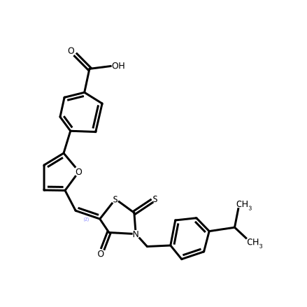 CC(C)c1ccc(CN2C(=O)/C(=C/c3ccc(-c4ccc(C(=O)O)cc4)o3)SC2=S)cc1